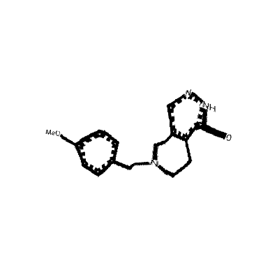 COc1ccc(CN2CCc3c(cn[nH]c3=O)C2)cc1